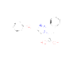 OB(O)C(Cc1ccccc1)n1cc(COc2ccccc2)nn1